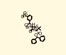 CC1(C)S[C@H]2N(C(=O)C2(Br)/N=C(\Cl)c2cccc([N+](=O)[O-])c2)[C@H]1C(=O)OC(c1ccccc1)c1ccccc1